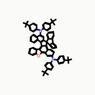 CC(C)(C)c1ccc(N(c2ccc(C(C)(C)C)cc2)c2ccc3c4c(c5c6ccccc6oc5c3c2)-c2c(cc(N(c3ccc(C(C)(C)C)cc3)c3ccc(C(C)(C)C)cc3)c3ccccc23)C42c3ccccc3-c3ccccc32)cc1